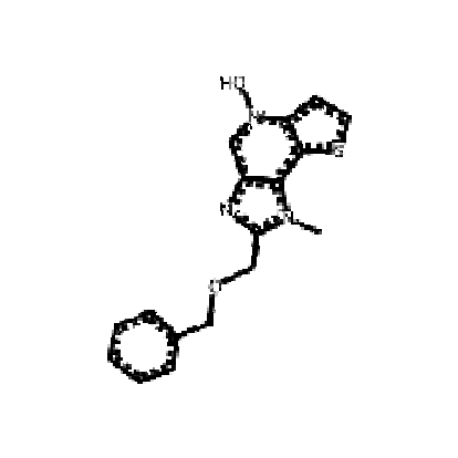 Cn1c(COCc2ccccc2)nc2c[n+](O)c3ccsc3c21